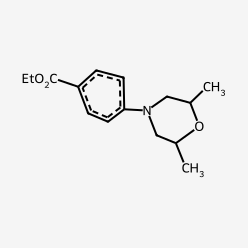 CCOC(=O)c1ccc(N2CC(C)OC(C)C2)cc1